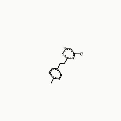 Cc1ccc(CCc2cc(Cl)cnn2)cc1